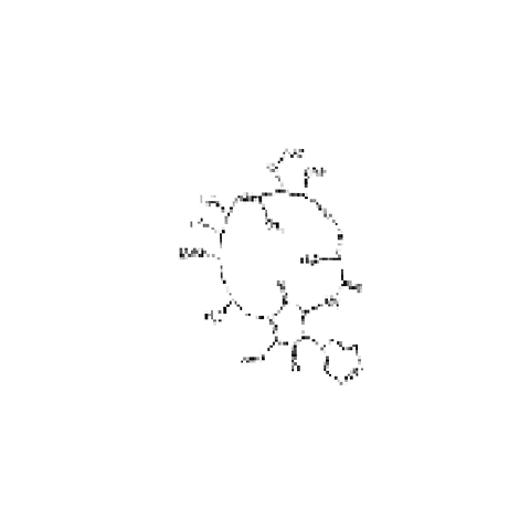 COC1=C2C[C@@H](C)C[C@H](OC)[C@H](O)[C@@H](C)/C=C(\C)[C@H](OC=O)[C@@H](OC)/C=C\C=C(/C)C(=O)NC(=C(c3ccccc3)C1=O)C2=O